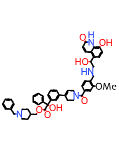 COc1cc(C(=O)N2CC=C(c3cccc(C(O)(C(=O)OCC4CCN(Cc5ccccc5)CC4)c4ccccc4)c3)CC2)ccc1CNCC(O)c1ccc(O)c2[nH]c(=O)ccc12